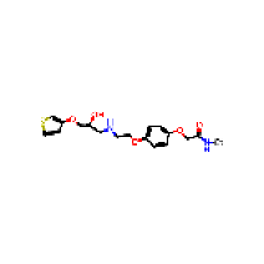 CCNC(=O)COc1ccc(OCCNCC(O)COc2ccsc2)cc1